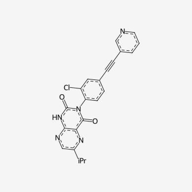 CC(C)c1cnc2[nH]c(=O)n(-c3ccc(C#Cc4cccnc4)cc3Cl)c(=O)c2n1